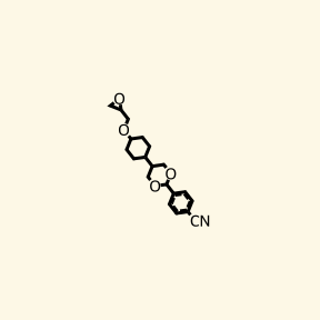 N#Cc1ccc(C2OCC(C3CCC(OCC4CO4)CC3)CO2)cc1